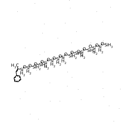 CC(=Cc1ccccc1)[SiH2]O[SiH2]O[SiH2]O[SiH2]O[SiH2]O[SiH2]O[SiH2]O[SiH2]O[SiH2]O[SiH2]O[SiH2]O[SiH2]O[SiH2]O[SiH2]O[SiH3]